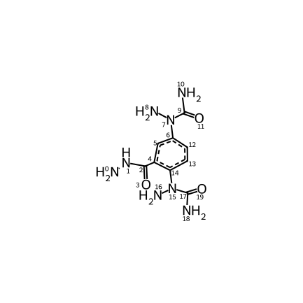 NNC(=O)c1cc(N(N)C(N)=O)ccc1N(N)C(N)=O